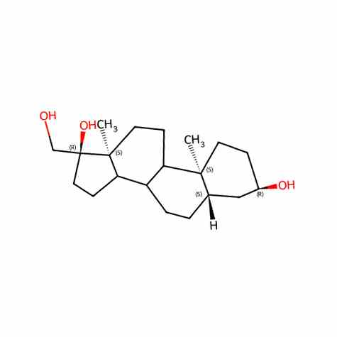 C[C@]12CCC3C(CC[C@H]4C[C@H](O)CC[C@]34C)C1CC[C@]2(O)CO